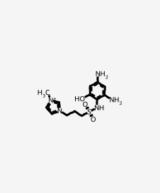 C[n+]1ccn(CCCS(=O)(=O)Nc2c(N)cc(N)cc2O)c1